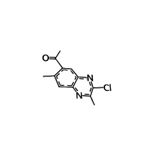 CC(=O)c1cc2nc(Cl)c(C)nc2cc1C